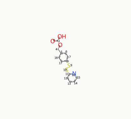 O=C(O)OCc1ccc(SSc2ccccn2)cc1